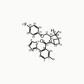 Cc1ccc(-c2nccs2)c(C(=O)N2C3CC(C3)[C@@H](C)C2COc2ccc(F)cc2)c1